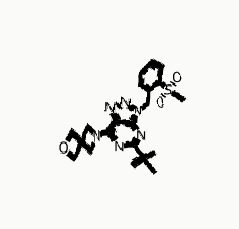 CC(C)(C)c1nc(N2CC3(COC3)C2)c2nnn(Cc3ccccc3S(C)(=O)=O)c2n1